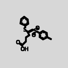 Cc1ccc(S(=O)(=O)/C=C(\CCCC(=O)O)Sc2ccccc2)cc1